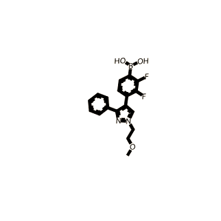 COCCn1cc(-c2ccc(B(O)O)c(F)c2F)c(-c2ccccc2)n1